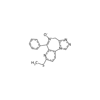 CSc1ccc2c(n1)C(c1ccccc1)=[N+]([O-])Cc1nncn1-2